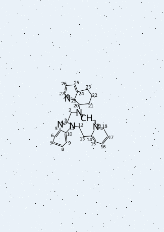 CN(Cc1nc2ccccc2n1CCc1ccccn1)C1CCCc2cccnc21